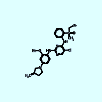 C=C1CCN(c2ccc(Nc3ncc(Cl)c(Nc4ccccc4S(=C)(=O)CC(C)C)n3)c(OCC)c2)C1